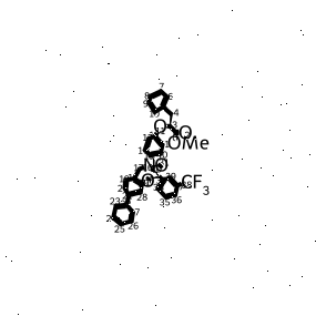 COC(=O)[C@H](Cc1ccccc1)Oc1ccc(N(Cc2ccc(-c3ccccc3)cc2)S(=O)(=O)c2cccc(C(F)(F)F)c2)cc1